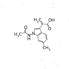 C=C(C(=O)O)c1cn(NC(C)=O)c2cc(C)ccc12